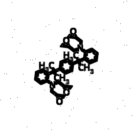 CC(C)(c1ccc(C(C)(C)c2ccccc2N(CC2CO2)CC2CO2)cc1)c1ccccc1N(CC1CO1)CC1CO1